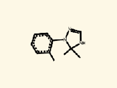 Cc1ccccc1N1N=CNC1(C)C